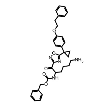 NCCCCC(NC(=O)OCc1ccccc1)C(=O)c1noc(C2(c3ccc(OCCc4ccccc4)cc3)CC2)n1